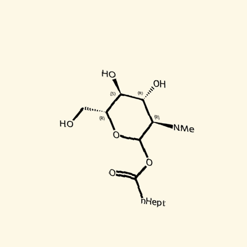 CCCCCCCC(=O)OC1O[C@H](CO)[C@@H](O)[C@H](O)[C@H]1NC